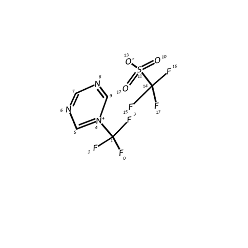 FC(F)(F)[n+]1cncnc1.O=S(=O)([O-])C(F)(F)F